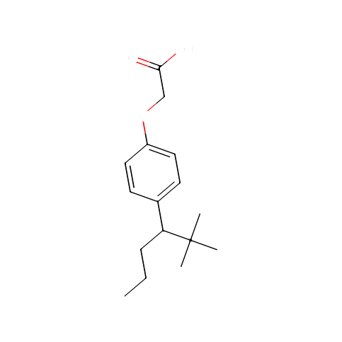 CCCC(c1ccc(OCC(=O)O)cc1)C(C)(C)C